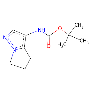 CC(C)(C)OC(=O)Nc1cnn2c1CCC2